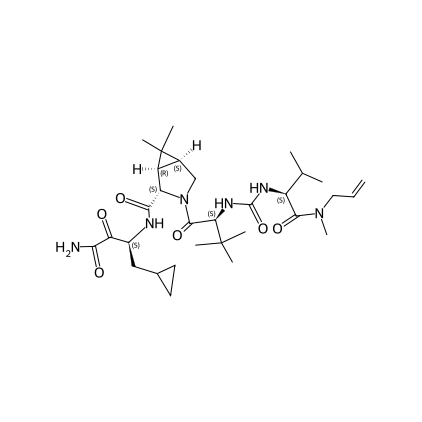 C=CCN(C)C(=O)[C@@H](NC(=O)N[C@H](C(=O)N1C[C@H]2[C@@H]([C@H]1C(=O)N[C@@H](CC1CC1)C(=O)C(N)=O)C2(C)C)C(C)(C)C)C(C)C